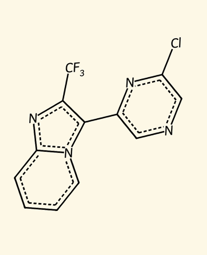 FC(F)(F)c1nc2ccccn2c1-c1cncc(Cl)n1